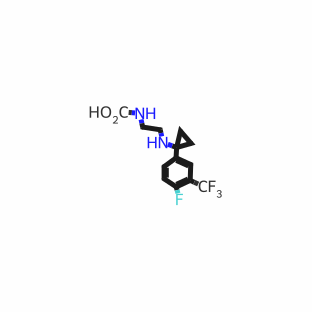 O=C(O)NCCNC1(c2ccc(F)c(C(F)(F)F)c2)CC1